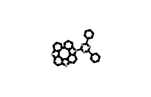 c1ccc(-c2nc(-c3ccccc3)nc(-n3c4cccc5c6cccc7sc8ccc9oc%10ccc3c(c%10c9c8c76)c54)n2)cc1